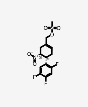 CS(=O)(=O)OCC1=CC[C@H](c2cc(F)c(F)cc2F)[C@@H]([N+](=O)[O-])C1